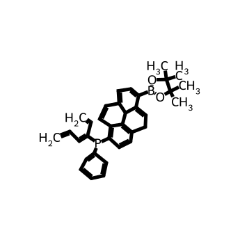 C=C/C=C(\C=C)P(c1ccccc1)c1ccc2c3c1C=CC1=CC=C(B4OC(C)(C)C(C)(C)O4)C(=CC2)C13